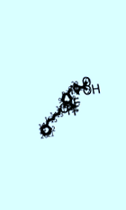 O=C(O)C1CN(Cc2ccc(OCCCCCc3ccccc3)c(C(F)(F)F)c2)C1